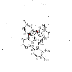 Cc1cc(N2C[C@H]3CC[C@@H](C2)C3NC2=NN3CCO[C@H](c4ccc(F)c(F)c4F)C3N2)ncn1